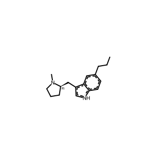 CCCc1ccc2[nH]cc(C[C@H]3CCCN3C)c2c1